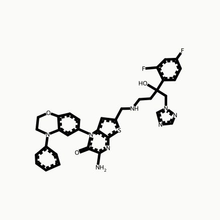 Nc1nc2sc(CNCCC(O)(Cn3cncn3)c3ccc(F)cc3F)cc2n(-c2ccc3c(c2)N(c2ccccc2)CCO3)c1=O